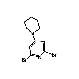 Brc1cc(N2CCCCC2)cc(Br)n1